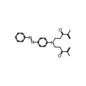 C=C(C)C(=O)CCN(CCC(=O)C(=C)C)c1ccc(N=Nc2ccccc2)cc1